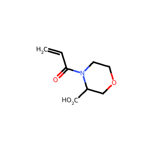 C=CC(=O)N1CCOCC1C(=O)O